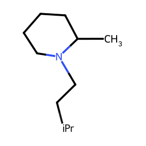 CC(C)CCN1CCCCC1C